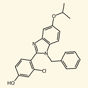 CC(C)Oc1ccc2c(c1)nc(-c1ccc(O)cc1Cl)n2Cc1ccccc1